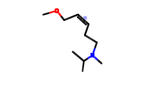 COC/C=C\CCN(C)C(C)C